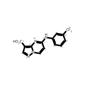 O=C(O)c1cnn2ccc(Nc3cccc(C(F)(F)F)c3)nc12